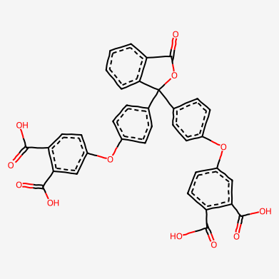 O=C(O)c1ccc(Oc2ccc(C3(c4ccc(Oc5ccc(C(=O)O)c(C(=O)O)c5)cc4)OC(=O)c4ccccc43)cc2)cc1C(=O)O